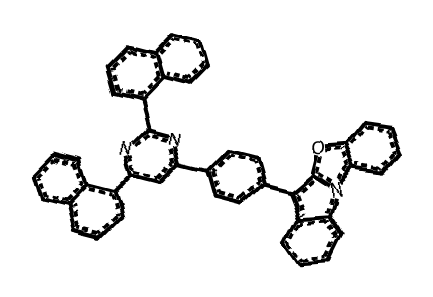 c1ccc2c(-c3cc(-c4ccc(-c5c6ccccc6n6c5oc5ccccc56)cc4)nc(-c4cccc5ccccc45)n3)cccc2c1